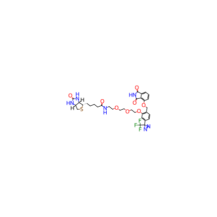 O=C(CCCC[C@@H]1SC[C@@H]2NC(=O)N[C@@H]21)NCCOCCOCCOc1cc(C2(C(F)(F)F)N=N2)ccc1COc1cccc2c1C(=O)NC2=O